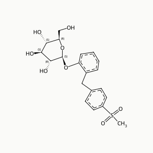 CS(=O)(=O)c1ccc(Cc2ccccc2O[C@@H]2O[C@H](CO)[C@@H](O)[C@H](O)[C@H]2O)cc1